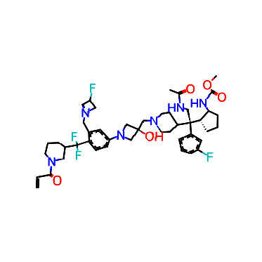 C=CC(=O)N1CCCC(C(F)(F)c2ccc(N3CC(O)(CN4CCC([C@@](CNC(C)=O)(c5cccc(F)c5)[C@H]5CCC[C@@H]5NC(=O)OC)CC4)C3)cc2CN2CC(F)C2)C1